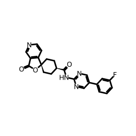 O=C1O[C@]2(CC[C@H](C(=O)Nc3ncc(-c4cccc(F)c4)cn3)CC2)c2ccncc21